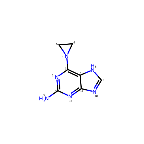 Nc1nc(N2CC2)c2[nH]cnc2n1